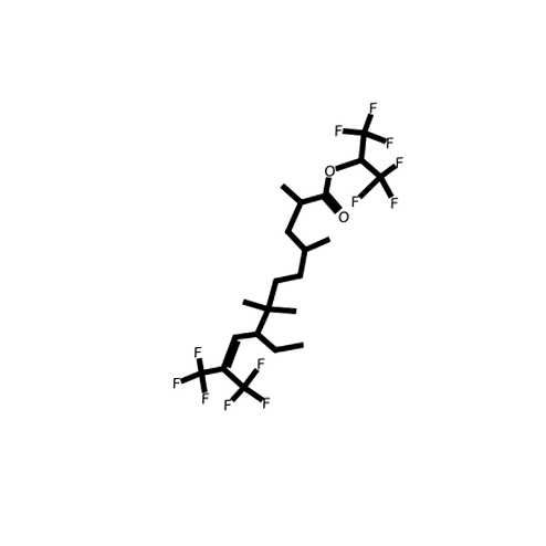 CCC(C=C(C(F)(F)F)C(F)(F)F)C(C)(C)CCC(C)CC(C)C(=O)OC(C(F)(F)F)C(F)(F)F